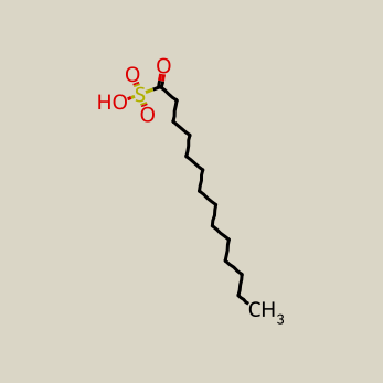 CCCCCCCCCCCCCC(=O)S(=O)(=O)O